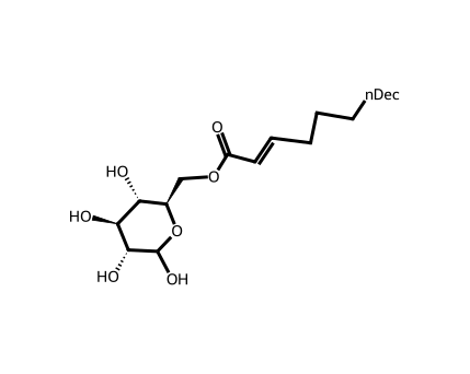 CCCCCCCCCCCCC/C=C/C(=O)OC[C@H]1OC(O)[C@H](O)[C@@H](O)[C@@H]1O